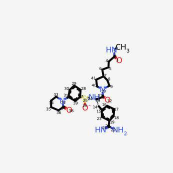 CNC(=O)CCCC1CCN(C(=O)[C@H](Cc2cccc(C(=N)N)c2)N[S+]([O-])c2cccc(N3CCCCC3=O)c2)CC1